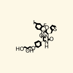 O=C(Nc1ccc(I)cc1F)[C@H](Cc1cccs1)N1C(=O)N[C@H](c2ccc(OC[C@H](O)CO)cc2)C1=O